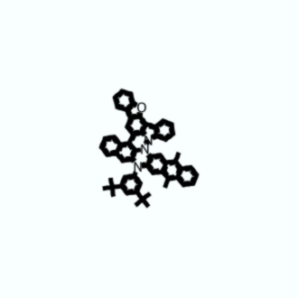 Cc1c2ccccc2c(C)c2cc3c(cc12)n(-c1cc(C(C)(C)C)cc(C(C)(C)C)c1)c1cc2ccccc2c2c1-n3n1c3ccccc3c3c4oc5ccccc5c4cc2c31